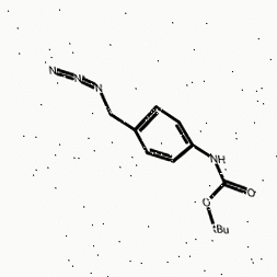 CC(C)(C)OC(=O)Nc1ccc(CN=[N+]=[N-])cc1